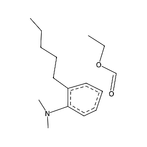 CCCCCc1ccccc1N(C)C.CCOC=O